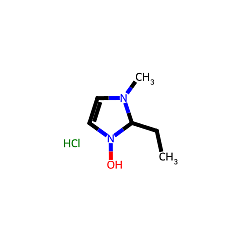 CCC1N(C)C=CN1O.Cl